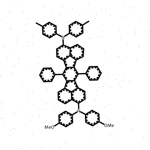 COc1ccc(N(c2ccc(OC)cc2)c2ccc3c4c(-c5ccccc5)c5c6cccc7c(N(c8ccc(C)cc8)c8ccc(C)cc8)ccc(c5c(-c5ccccc5)c4c4cccc2c43)c76)cc1